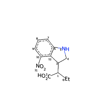 CCC(C(=O)O)C1CNc2cccc([N+](=O)[O-])c21